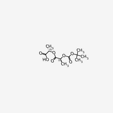 C[C@H](OC(=O)[C@H](C)OC(=O)OC(C)(C)C)C(=O)O